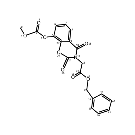 COC(=O)Oc1cccc2c(=O)n(CC(=O)OCc3ccccc3)c(=O)oc12